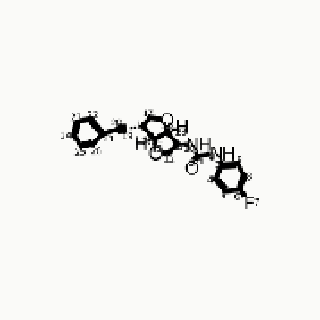 O=C(Nc1ccc(F)cc1)N[C@H]1CO[C@@H]2[C@@H]1OC[C@H]2C#Cc1ccccc1